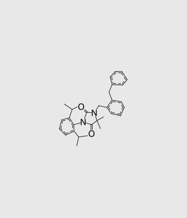 CC(C)c1cccc(C(C)C)c1N1C(=O)N(Cc2ccccc2Cc2ccccc2)C(C)(C)C1=O